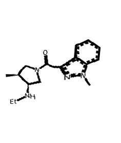 CCN[C@@H]1CN(C(=O)c2nn(C)c3ccccc23)C[C@@H]1C